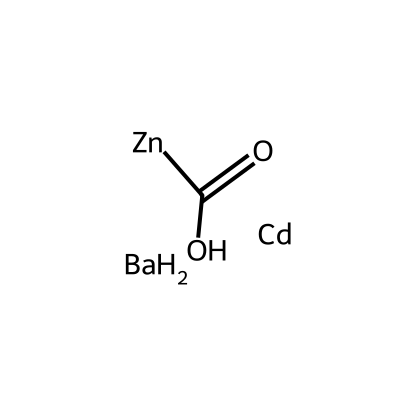 O=[C](O)[Zn].[BaH2].[Cd]